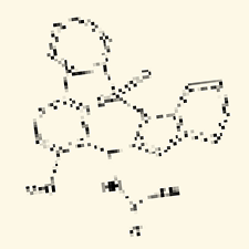 COc1ccc(C)cc1C(N[S@@+]([O-])C(C)(C)C)c1cc2ccccc2n1S(=O)(=O)c1ccccc1